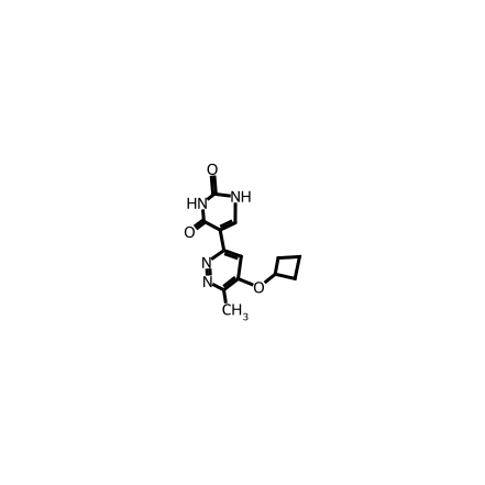 Cc1nnc(-c2c[nH]c(=O)[nH]c2=O)cc1OC1CCC1